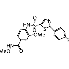 CONC(=O)c1ccc(NS(=O)(=O)c2cnc(-c3ccc(F)cc3)s2)c(OC)c1